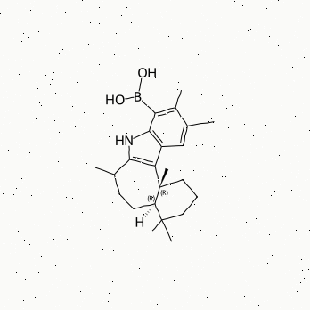 Cc1cc2c3c([nH]c2c(B(O)O)c1C)C(C)CC[C@@H]1C(C)(C)CCC[C@@]31C